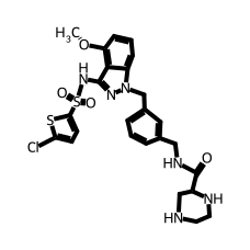 COc1cccc2c1c(NS(=O)(=O)c1ccc(Cl)s1)nn2Cc1cccc(CNC(=O)C2CNCCN2)c1